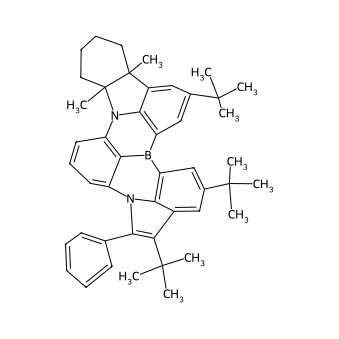 CC(C)(C)c1cc2c3c(c1)C1(C)CCCCC1(C)N3c1cccc3c1B2c1cc(C(C)(C)C)cc2c(C(C)(C)C)c(-c4ccccc4)n-3c12